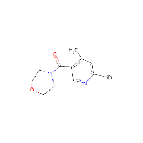 Cc1cc(C(C)C)ncc1C(=O)N1CCOCC1